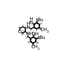 Cc1cc(CN[C@H]2CCOC[C@@H]2NCc2cc(C)cc(C(C)(C)C)c2O)c(O)c(C(C)(C)C)c1